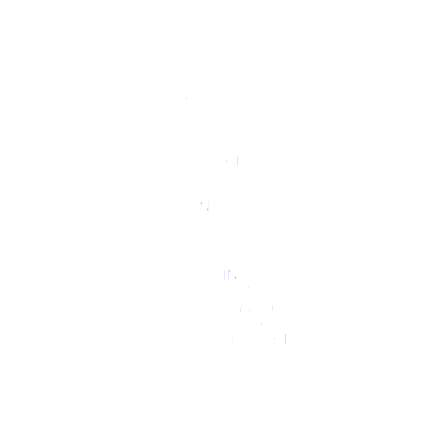 C=CC(CC)(c1ccc(Cl)cc1)n1ccc2c(NC(=O)OC(C)(C)C)cccc21